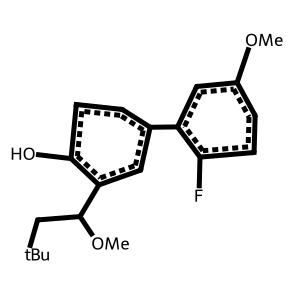 COc1ccc(F)c(-c2ccc(O)c(C(CC(C)(C)C)OC)c2)c1